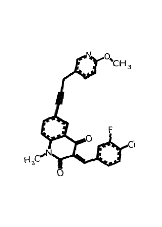 COc1ccc(CC#Cc2ccc3c(c2)C(=O)/C(=C\c2ccc(Cl)c(F)c2)C(=O)N3C)cn1